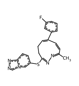 CC1=N\N=C(\Sc2ccc3nncn3c2)CCC=C(c2cccc(F)c2)/C=C\1